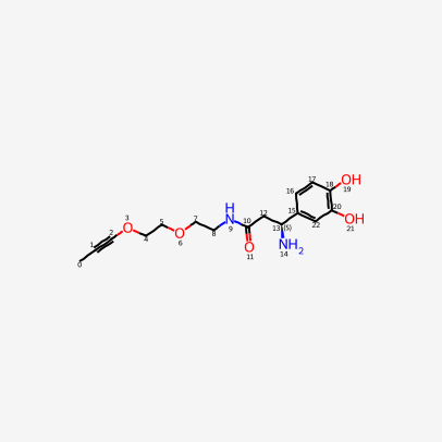 CC#COCCOCCNC(=O)C[C@H](N)c1ccc(O)c(O)c1